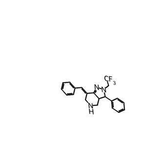 FC(F)(F)CN1N=C2C(=Cc3ccccc3)CNCC2C1c1ccccc1